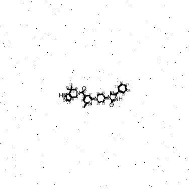 Cc1cc(C(=O)N2Cc3cn[nH]c3C(C)(C)C2)cc(N2CCC(n3nc(-c4ccccc4)[nH]c3=O)CC2)n1